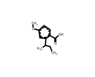 CCC(C)c1cc(OC)ccc1C(=O)O